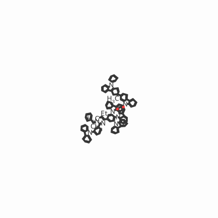 CC/C(C)=C(/N=C(\N=C(/C)c1ccccc1)c1cccc(-n2c3ccccc3c3ccccc32)c1)c1cc(-n2c3ccccc3c3ccccc32)c(-n2c3ccccc3c3cc(-n4c5ccccc5c5ccc(C6(C)C=Cc7c(c8ccccc8n7-c7ccccc7)C6)cc54)ccc32)c(-n2c3ccccc3c3ccccc32)c1